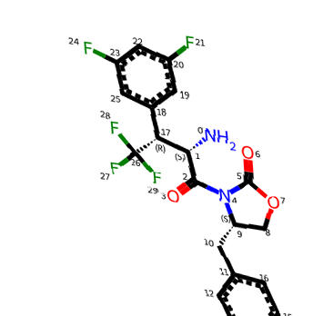 N[C@H](C(=O)N1C(=O)OC[C@@H]1Cc1ccccc1)[C@@H](c1cc(F)cc(F)c1)C(F)(F)F